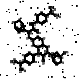 CN(C)c1ccc(NC(=O)N(CC2CCC(CN(C(=O)Nc3ccc(N(C)C)cc3)[C@H]3C[C@H]4CCC3C4)CC2)C2CC3CCC2C3)cc1